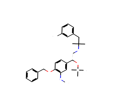 CC(=O)Oc1cccc(CC(C)(C)NC[C@H](O[Si](C)(C)C(C)(C)C)c2ccc(OCc3ccccc3)c(NC=O)c2)c1